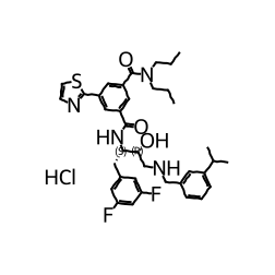 CCCN(CCC)C(=O)c1cc(C(=O)N[C@@H](Cc2cc(F)cc(F)c2)[C@H](O)CNCc2cccc(C(C)C)c2)cc(-c2nccs2)c1.Cl